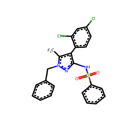 O=S(=O)(Nc1nn(Cc2ccccc2)c(C(F)(F)F)c1-c1ccc(Cl)cc1Cl)c1ccccc1